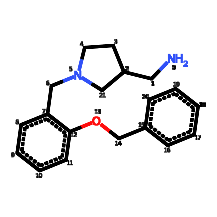 NCC1CCN(Cc2ccccc2OCc2ccccc2)C1